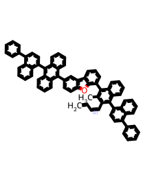 C=C/C=C\c1c(C)c(-c2cccc3c2oc2ccc(-c4c5ccccc5c(-c5ccc(-c6ccccc6)c6ccccc56)c5ccccc45)cc23)c2ccccc2c1-c1ccc(-c2ccccc2)c2ccccc12